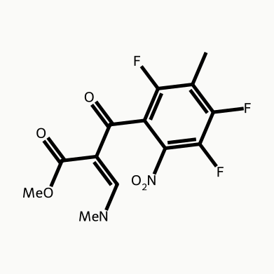 CNC=C(C(=O)OC)C(=O)c1c(F)c(C)c(F)c(F)c1[N+](=O)[O-]